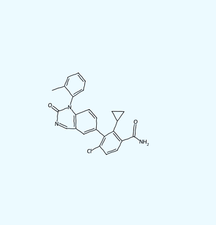 Cc1ccccc1-n1c(=O)ncc2cc(-c3c(Cl)ccc(C(N)=O)c3C3CC3)ccc21